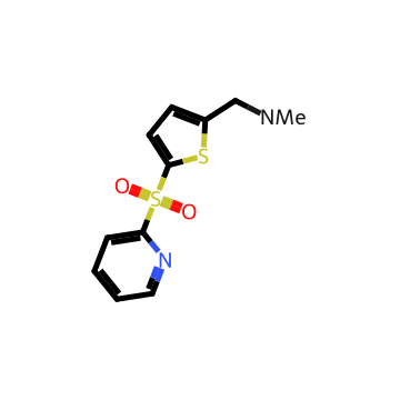 CNCc1ccc(S(=O)(=O)c2ccccn2)s1